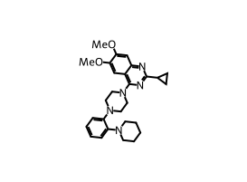 COc1cc2nc(C3CC3)nc(N3CCN(c4ccccc4N4CCCCC4)CC3)c2cc1OC